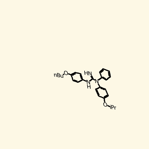 CCCCOc1ccc(NC(=N)N(c2ccccc2)c2ccc(OC(C)C)cc2)cc1